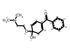 CN(C)CCOC1(O)C=CC(C(=O)c2ccccc2)=CC1